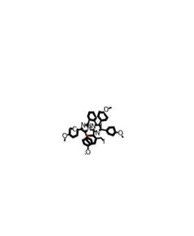 COc1ccc(C2=NC(c3ccccc3CI)(n3c(-c4ccccc4CI)nc(-c4ccc(OC)cc4)c3-c3ccc(OC)cc3)NC2c2ccc(OC)cc2)cc1